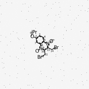 CC(C)Oc1ccc2c(c1)[n+]([O-])c(CBr)c(CBr)[n+]2[O-]